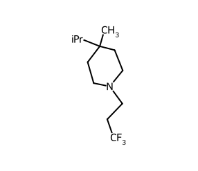 CC(C)C1(C)CCN(CCC(F)(F)F)CC1